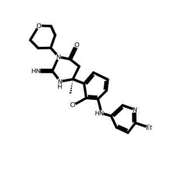 CCc1ccc(Nc2cccc([C@]3(C)CC(=O)N(C4CCOCC4)C(=N)N3)c2Cl)cn1